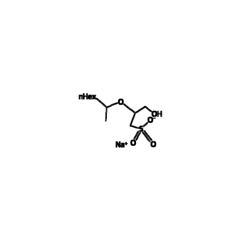 CCCCCCC(C)OC(CO)CS(=O)(=O)[O-].[Na+]